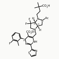 CCOC(=O)C1=C(CN2CC(F)(F)[C@H]3[C@@H]2CN(C(C)=O)N3CCC(C)(C)C(=O)O)NC(c2nccs2)=N[C@H]1c1cccc(F)c1C